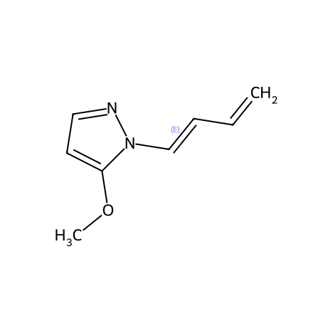 C=C/C=C/n1nccc1OC